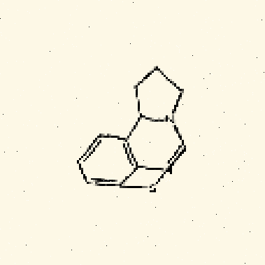 [c]1ccc2sc3nc2c1C1CCCN31